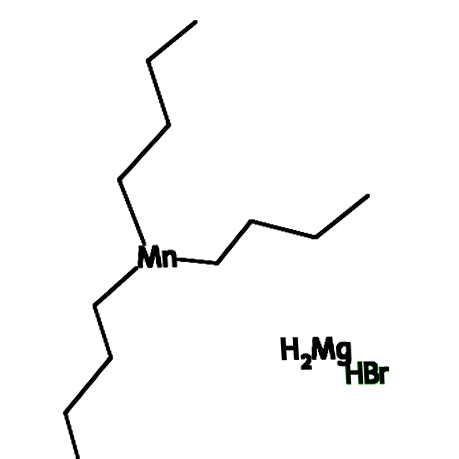 Br.CCC[CH2][Mn]([CH2]CCC)[CH2]CCC.[MgH2]